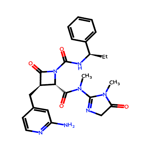 CC[C@@H](NC(=O)N1C(=O)[C@H](Cc2ccnc(N)c2)[C@H]1C(=O)N(C)C1=NCC(=O)N1C)c1ccccc1